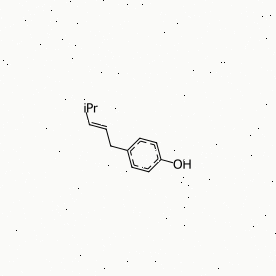 CC(C)C=CCc1ccc(O)cc1